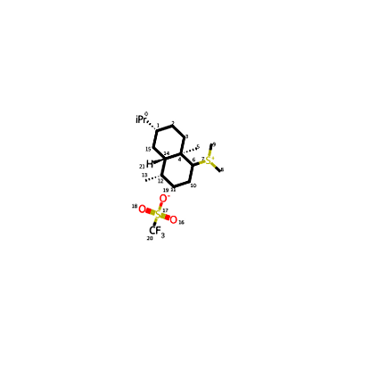 CC(C)[C@@H]1CC[C@@]2(C)C([S+](C)C)CC[C@H](C)[C@@H]2C1.O=S(=O)([O-])C(F)(F)F